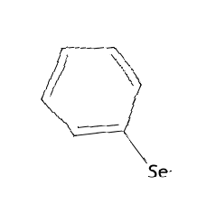 [Se]c1ccccc1